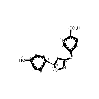 O=C(O)c1ccc(OC2=NO[C@@H](c3ccc(O)cc3)C2)cn1